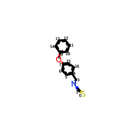 S=C=NCc1ccc(Oc2ccccc2)cc1